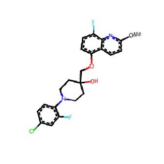 COc1ccc2c(OCC3(O)CCN(c4ccc(Cl)cc4F)CC3)ccc(F)c2n1